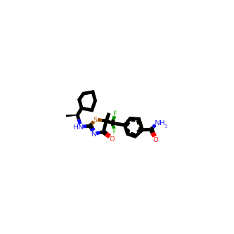 C[C@H](NC1=NC(=O)C(C)(C(F)(F)c2ccc(C(N)=O)cc2)S1)C1CCCCC1